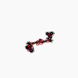 Cc1cc(C(C)(C)C)c(OCCCCC(=O)OP(C)COC(=O)CCCCOc2c(C(C)(C)C)cc(C)c(C(=O)P(=O)(c3ccccc3)c3ccccc3)c2C)c(C)c1CP(=O)(c1ccccc1)c1ccccc1